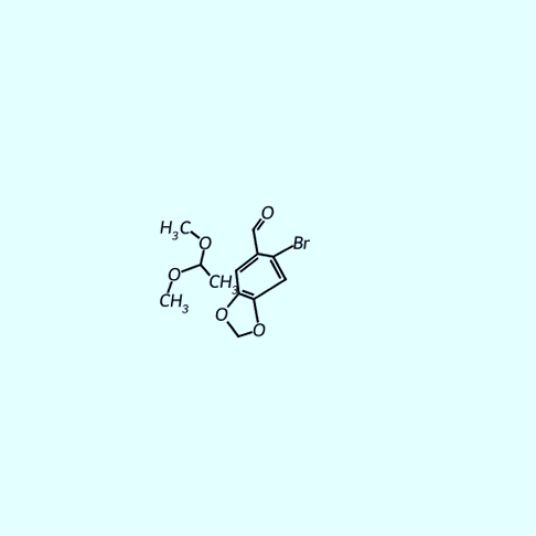 COC(C)OC.O=Cc1cc2c(cc1Br)OCO2